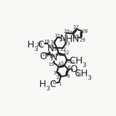 CCc1cc2c(c(OC)c1)C(C)C=C1N(C2)C(=O)N(CC)C12CCN(Cc1ccc[nH]1)CC2